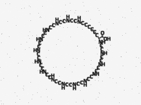 O=C(O)C1CCCCCCNCCNCCNCCNCCNCCNCCNCCNCCNCCNCCNCCNCCNCCNCCNCCN1